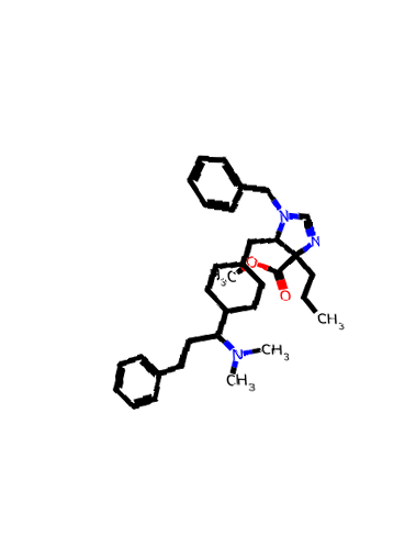 CCCC1(C(=O)OC)N=CN(Cc2ccccc2)C1CC1CCC(C(CCc2ccccc2)N(C)C)CC1